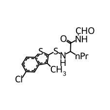 CCCC(NSc1sc2ccc(Cl)cc2c1C)C(=O)NC=O